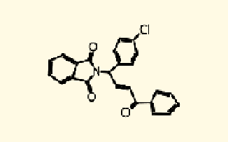 O=C(C=CC(c1ccc(Cl)cc1)N1C(=O)c2ccccc2C1=O)c1ccccc1